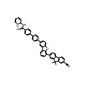 CC1(C)c2cc(C#N)ccc2-c2ccc(-c3cccc4c3oc3ccc(-c5ccc(-c6ccc(C(=N)NC7C=CC=CN7)cc6)cc5)cc34)cc21